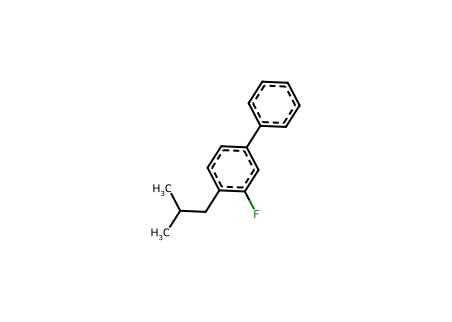 CC(C)Cc1ccc(-c2ccccc2)cc1F